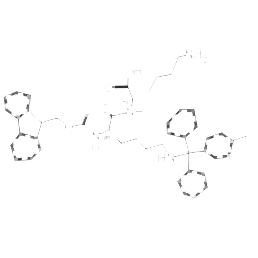 Cc1ccc(C(NCCCC[C@@H](NC(=O)OCC2c3ccccc3-c3ccccc32)C(=O)N[C@@H](CCCCN)C(=O)O)(c2ccccc2)c2ccccc2)cc1